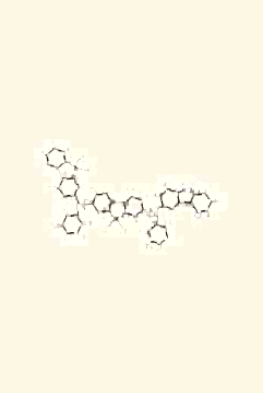 CC1(C)c2ccccc2-c2ccc(N(c3ccccc3)c3ccc4c(c3)C(C)(C)c3cc(N(c5ccccc5)c5ccc6oc7ccccc7c6c5)ccc3-4)cc21